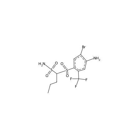 CCCC(S(N)(=O)=O)S(=O)(=O)c1cc(Br)c(N)cc1C(F)(F)F